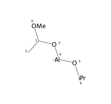 COC(C)[O][Al][O]C(C)C